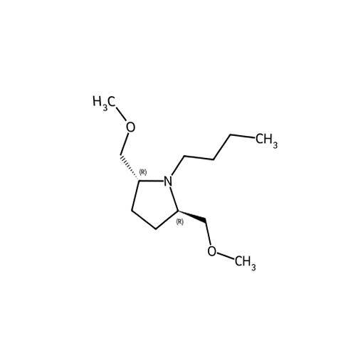 CCCCN1[C@@H](COC)CC[C@@H]1COC